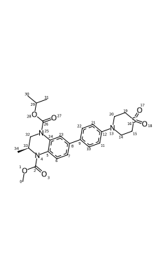 COC(=O)N1c2ccc(-c3ccc(N4CCS(=O)(=O)CC4)cc3)cc2N(C(=O)OC(C)C)C[C@@H]1C